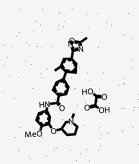 COc1ccc(NC(=O)c2ccc(-c3ccc(-c4noc(C)n4)cc3C)cc2)cc1OC1CCCN(C)C1.O=C(O)C(=O)O